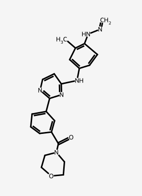 C=NNc1ccc(Nc2ccnc(-c3cccc(C(=O)N4CCOCC4)c3)n2)cc1C